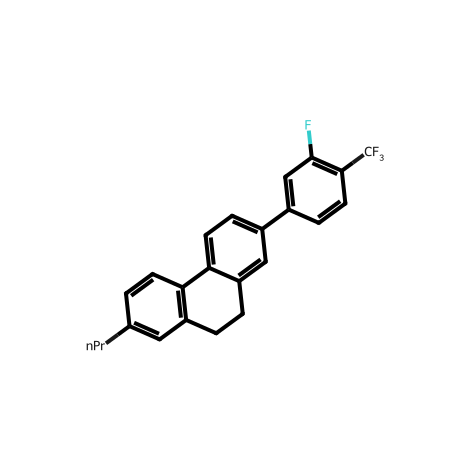 CCCc1ccc2c(c1)CCc1cc(-c3ccc(C(F)(F)F)c(F)c3)ccc1-2